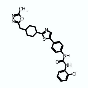 Cc1nnc(CC2CCC(c3ncc(-c4ccc(NC(=O)Nc5ccccc5Cl)cc4)s3)CC2)o1